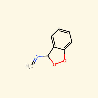 C=NC1OOc2ccccc21